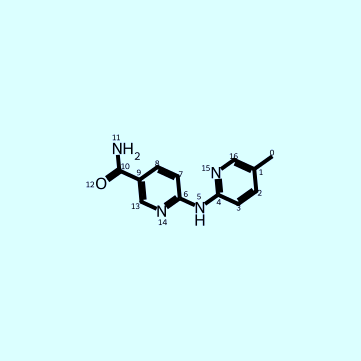 Cc1ccc(Nc2ccc(C(N)=O)cn2)nc1